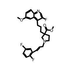 COC(=O)C1(CCCc2c(F)cnc3ccc(OC)cc23)CCN(CC=Cc2cc(F)ccc2F)C1